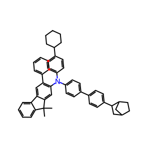 CC1(C)c2ccccc2-c2cc(-c3ccccc3)c(N(c3ccc(-c4ccc(C5CC6CCC5C6)cc4)cc3)c3ccc(C4CCCCC4)cc3)cc21